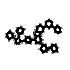 c1ccc(-c2cccc(-c3ccc4oc5c(-c6ccc(-c7nnc(-c8ccccc8)n7-c7ccccc7)cc6)cc(-c6cccc(-c7ccccc7)c6)cc5c4c3)c2)cc1